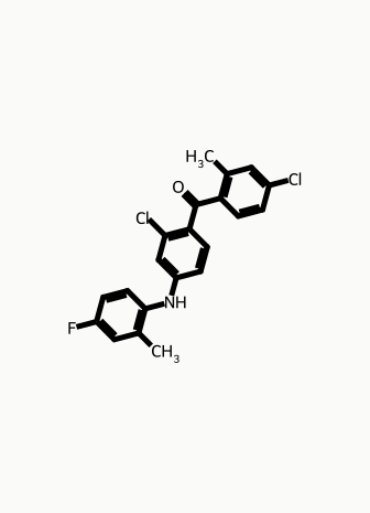 Cc1cc(F)ccc1Nc1ccc(C(=O)c2ccc(Cl)cc2C)c(Cl)c1